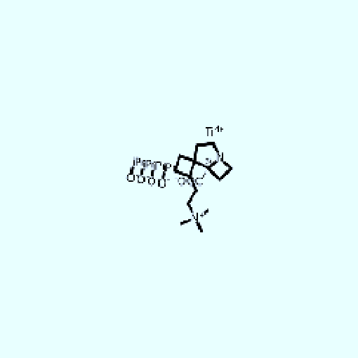 CC(C)[O-].CC(C)[O-].CC(C)[O-].CC(C)[O-].C[N+](C)(C)CCC1CCC12CCN1CC[C@]12C(=O)[O-].[Ti+4]